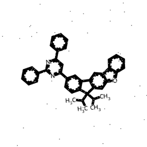 CC(C)C1(C(C)C)c2ccc(-c3cc(-c4ccccc4)nc(-c4ccccc4)n3)cc2-c2cc3c(cc21)oc1ccccc13